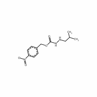 CC(C)CNNC(=O)OCc1ccc([N+](=O)[O-])cc1